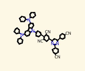 N#Cc1ccc(-c2cc(-c3cc(C#N)c(-c4ccc(-n5c6ccc(N(c7ccccc7)c7ccccc7)cc6c6cc(N(c7ccccc7)c7ccccc7)ccc65)cc4)c(C#N)c3)nc(-c3ccc(C#N)cc3)n2)cc1